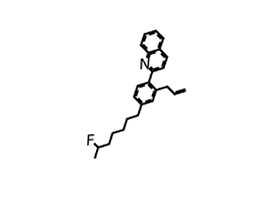 C=CCc1cc(CCCCCC(C)F)ccc1-c1ccc2ccccc2n1